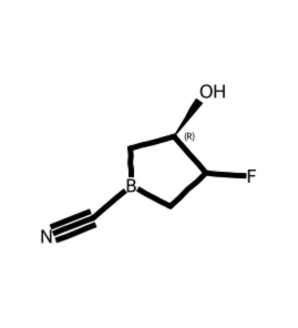 N#CB1CC(F)[C@H](O)C1